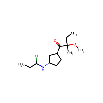 CCC(Cl)N[C@H]1CC[C@H](C(=O)C(C)(CC)OC)C1